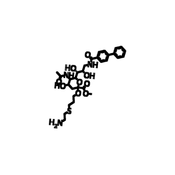 COC(=O)C1(OCCCSCCN)CC(O)C(NC(C)=O)C([C@H](O)[C@H](O)CNC(=O)c2ccc(-c3ccccc3)cc2)O1